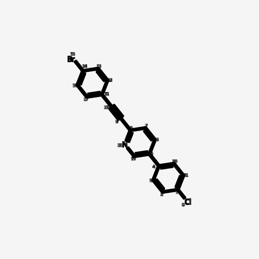 Clc1ccc(-c2ccc(C#Cc3ccc(Br)cc3)nc2)cc1